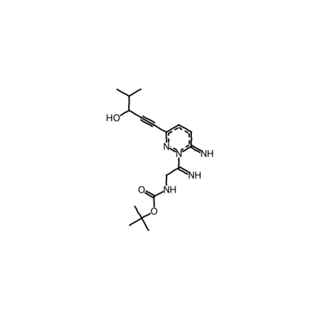 CC(C)C(O)C#Cc1ccc(=N)n(C(=N)CNC(=O)OC(C)(C)C)n1